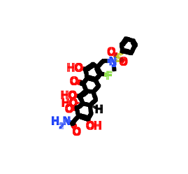 CN(Cc1cc(O)c2c(c1F)CC1C[C@H]3CC(O)=C(C(N)=O)C(=O)[C@@]3(O)C(O)=C1C2=O)S(=O)(=O)c1ccccc1